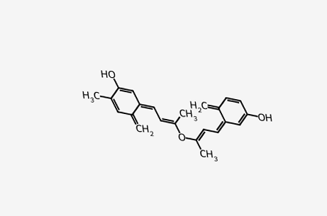 C=c1ccc(O)c/c1=C/C=C(\C)O/C(C)=C/C=c1/cc(O)c(C)cc1=C